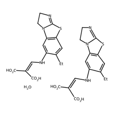 CCc1cc2c(cc1NC=C(C(=O)O)C(=O)O)N1CCN=C1S2.CCc1cc2c(cc1NC=C(C(=O)O)C(=O)O)N1CCN=C1S2.O